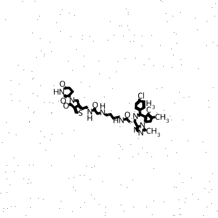 CC1=C(C)C2=C(C1)n1c(C)nnc1[C@H](CC(=O)NCCCCNCC(=O)NCc1scc3c1CN(C1CCC(=O)NC1=O)C3=O)N=C2c1ccc(Cl)cc1